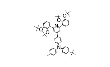 Cc1ccc(N(c2ccc(-c3cc(-c4cccc(OC(C)(C)C)c4OC(C)(C)C)nc(-c4cccc(OC(C)(C)C)c4OC(C)(C)C)c3)cc2)c2ccc(C(C)(C)C)cc2)cc1